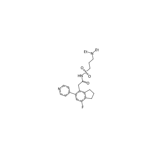 CCN(CC)CCCS(=O)(=O)NC(=O)Cc1c(-c2ccncc2)cc(F)c2c1CCC2